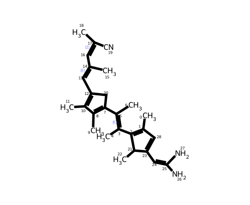 CC1=C(/C(C)=C(\C)C2=C(C)C(C)=C(/C=C(C)/C=C(/C)C#N)C2)C(C)C(C=C(N)N)=C1